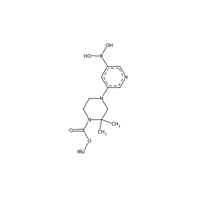 CC(C)(C)OC(=O)N1CCN(c2cncc(B(O)O)c2)CC1(C)C